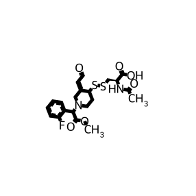 COC(=O)C(c1ccccc1F)N1CCC(SSC[C@H](NC(C)=O)C(=O)O)/C(=C\C=O)C1